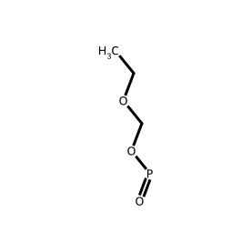 CCOCOP=O